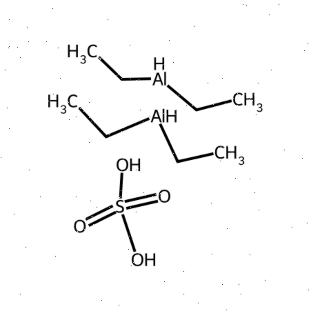 C[CH2][AlH][CH2]C.C[CH2][AlH][CH2]C.O=S(=O)(O)O